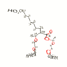 CCCCCCOCCOC(C)OC(=O)C(CCCCCCCC(=O)O)C(C)OCCOCCCCCC